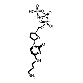 NCCCNc1ccn([C@H]2CC[C@@H](COP(=O)(O)OP(=O)(O)OP(=O)(O)O)O2)c(=O)n1